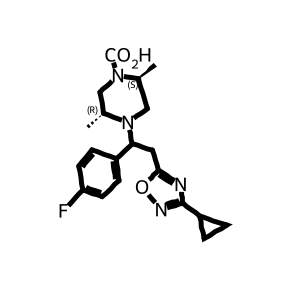 C[C@@H]1CN(C(=O)O)[C@@H](C)CN1C(Cc1nc(C2CC2)no1)c1ccc(F)cc1